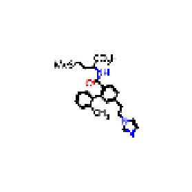 CSCCC(NC(=O)c1ccc(CCn2ccnc2)cc1-c1ccccc1C)C(=O)O